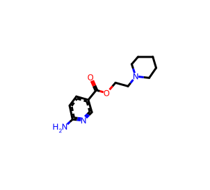 Nc1ccc(C(=O)OCCN2CCCCC2)cn1